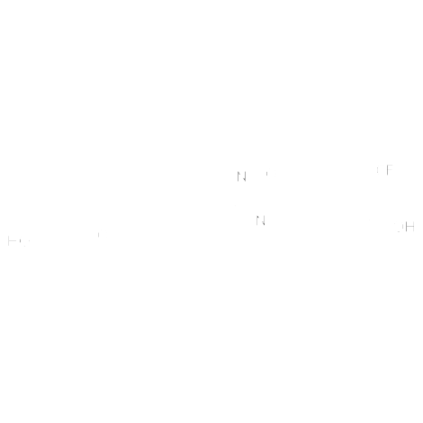 OCCOCc1ccc(-c2noc(-c3ccc(O)c(C(F)(F)F)c3)n2)cc1